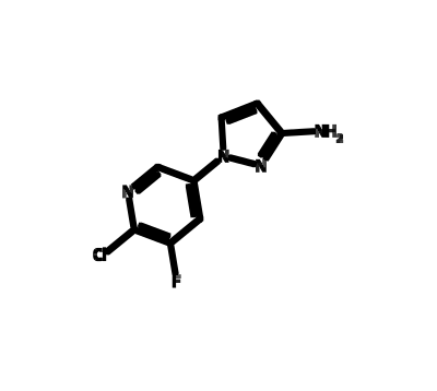 Nc1ccn(-c2cnc(Cl)c(F)c2)n1